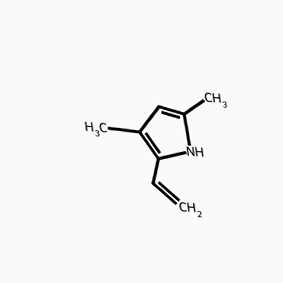 C=Cc1[nH]c(C)cc1C